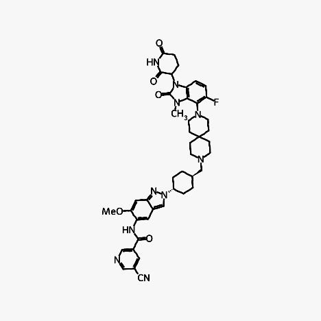 COc1cc2nn([C@H]3CC[C@H](CN4CCC5(CC4)CCN(c4c(F)ccc6c4n(C)c(=O)n6C4CCC(=O)NC4=O)CC5)CC3)cc2cc1NC(=O)c1cncc(C#N)c1